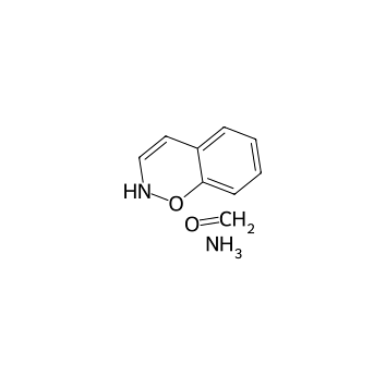 C1=Cc2ccccc2ON1.C=O.N